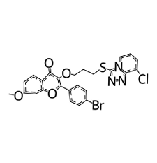 COc1ccc2c(=O)c(OCCCSc3nnc4c(Cl)cccn34)c(-c3ccc(Br)cc3)oc2c1